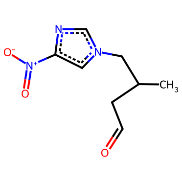 CC(CC=O)Cn1cnc([N+](=O)[O-])c1